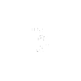 COc1cc(N)c(Cl)cc1C(=O)NCC1CCN(C(=O)OC(C)(C)C)CC1OC